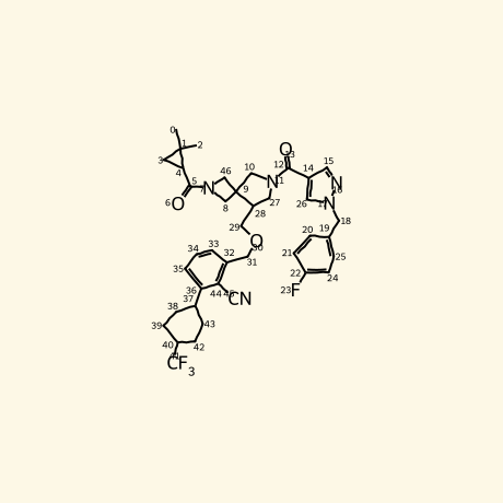 CC1(C)CC1C(=O)N1CC2(CN(C(=O)c3cnn(Cc4ccc(F)cc4)c3)CC2COCc2cccc(C3CCC(C(F)(F)F)CC3)c2C#N)C1